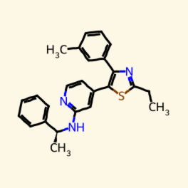 CCc1nc(-c2cccc(C)c2)c(-c2ccnc(N[C@@H](C)c3ccccc3)c2)s1